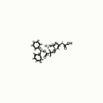 CC(C)(/N=S1/C=C(CC(=O)O)N=C1N)C(=O)OC(c1ccccc1)c1ccccc1